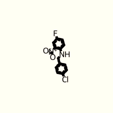 O=[N+]([O-])c1cc(F)ccc1NCc1ccc(Cl)cc1